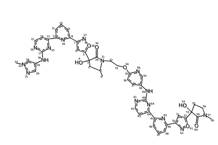 CC1CC(O)(c2cc(-c3cccc(-c4ccnc(Nc5cnn(C)c5)n4)n3)no2)C(=O)N1CCOc1ccc(Nc2nccc(-c3cccc(-c4cc(C5(O)CCN(C)C5=O)on4)n3)n2)cn1